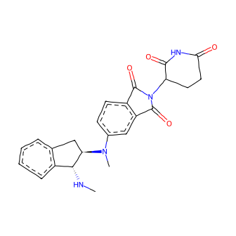 CN[C@@H]1c2ccccc2C[C@H]1N(C)c1ccc2c(c1)C(=O)N(C1CCC(=O)NC1=O)C2=O